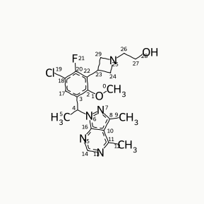 COc1c(C(C)n2nc(C)c3c(C)ncnc32)cc(Cl)c(F)c1C1CN(CCO)C1